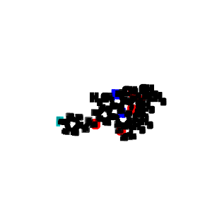 Cc1nc(C)c([C@H](OC(C)(C)C)C(=O)OC(C)C)c(N2CCC3(CCCO3)CC2)c1-c1ccc(OCCc2ccc(F)cc2)cc1